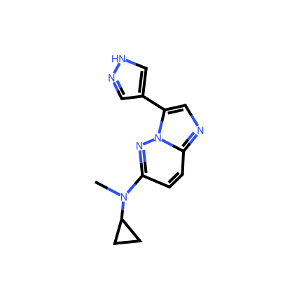 CN(c1ccc2ncc(-c3cn[nH]c3)n2n1)C1CC1